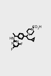 CC(Nc1nc(F)cc(F)n1)c1ccc(C(CC2CC2)N2CCN(C(=O)O)CC2)cc1